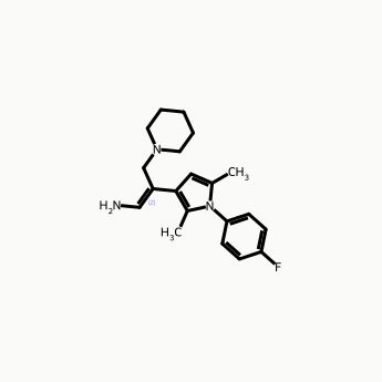 Cc1cc(/C(=C/N)CN2CCCCC2)c(C)n1-c1ccc(F)cc1